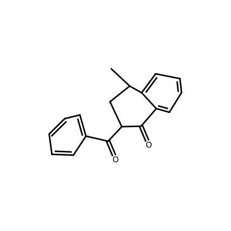 CC1CC(C(=O)c2ccccc2)C(=O)c2ccccc21